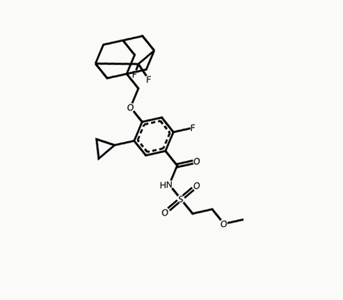 COCCS(=O)(=O)NC(=O)c1cc(C2CC2)c(OCC23CC4CC(C2)C(F)(F)C(C4)C3)cc1F